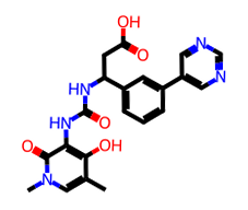 Cc1cn(C)c(=O)c(NC(=O)NC(CC(=O)O)c2cccc(-c3cncnc3)c2)c1O